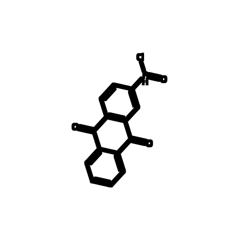 O=C1c2ccccc2C(=O)c2cc([PH](=O)Cl)ccc21